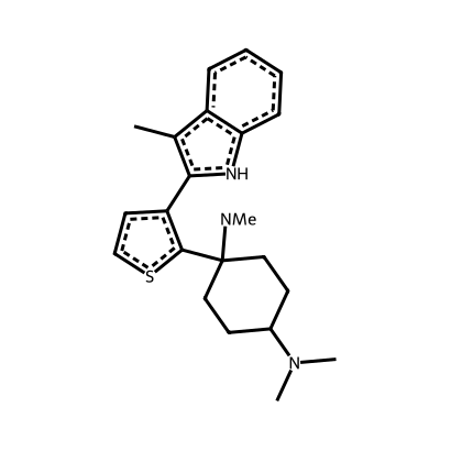 CNC1(c2sccc2-c2[nH]c3ccccc3c2C)CCC(N(C)C)CC1